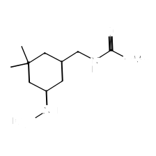 COC(=O)NCC1CC(NC(=O)O)CC(C)(C)C1